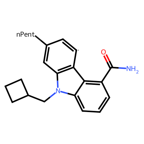 CCCCCc1c[c]c2c3c(C(N)=O)cccc3n(CC3CCC3)c2c1